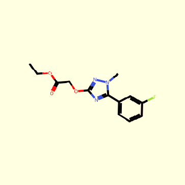 CCOC(=O)COc1nc(-c2cccc(F)c2)n(C)n1